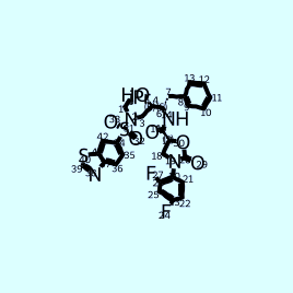 CC(C)CN(C[C@@H](O)[C@H](Cc1ccccc1)NC(=O)[C@@H]1CN(c2ccc(F)cc2F)C(=O)O1)S(=O)(=O)c1ccc2ncsc2c1